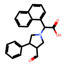 O=CC1CN(C(C(=O)O)c2cccc3ccccc23)CC1c1ccccc1